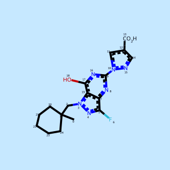 CC1(Cn2nc(F)c3nc(-n4cc(C(=O)O)cn4)nc(O)c32)CCCCC1